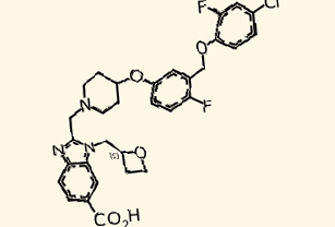 O=C(O)c1ccc2nc(CN3CCC(Oc4ccc(F)c(COc5ccc(Cl)cc5F)c4)CC3)n(C[C@@H]3CCO3)c2c1